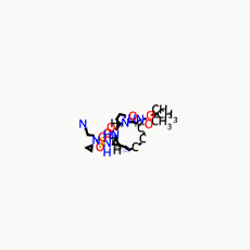 CC(C)(C)OC(=O)N[C@H]1CCCCC/C=C\[C@@H]2C[C@@]2(C(=O)NS(=O)(=O)N(CCC#N)C2CC2)NC(=O)[C@@H]2CCCN2C1=O